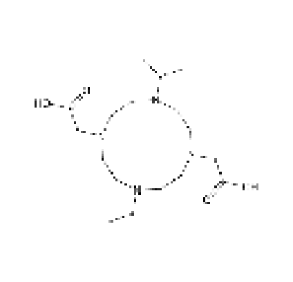 CCN1CCN(CC(=O)O)CCN(C(C)C)CCN(CC(=O)O)CC1